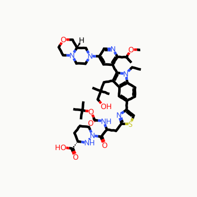 CCn1c(-c2cc(N3CCN4CCOC[C@@H]4C3)cnc2C(C)OC)c(CC(C)(C)CO)c2cc(-c3csc(CC(NC(=O)OC(C)(C)C)C(=O)N4CCC[C@@H](C(=O)O)N4)n3)ccc21